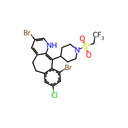 O=S(=O)(CC(F)(F)F)N1CCC(C2=C3NC=C(Br)C=C3CCc3cc(Cl)cc(Br)c32)CC1